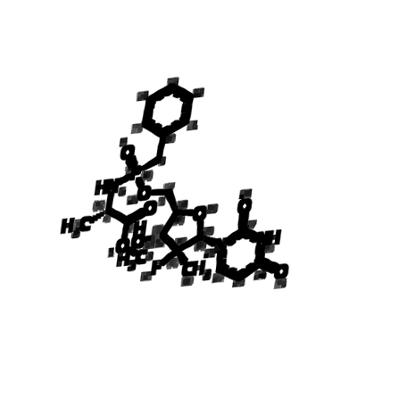 COC(=O)[C@H](C)N[P@@](=O)(Cc1ccccc1)OC[C@H]1O[C@@H](n2ccc(=O)[nH]c2=O)[C@](C)(F)[C@@H]1O